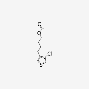 O=[C]OCCCCc1cscc1Cl